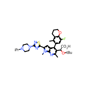 Cc1nc2c(cc(-c3nc(N4CCN(C(C)C)CC4)ns3)n2C)c(-c2cc(F)c3c(c2C)CCCO3)c1[C@H](OC(C)(C)C)C(=O)O